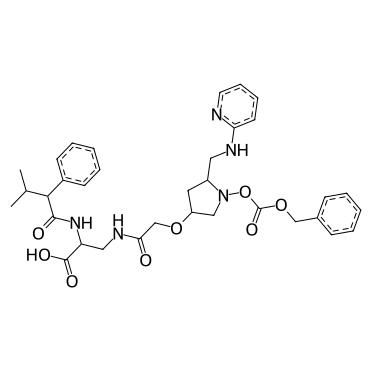 CC(C)C(C(=O)NC(CNC(=O)COC1CC(CNc2ccccn2)N(OC(=O)OCc2ccccc2)C1)C(=O)O)c1ccccc1